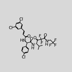 CC(C)[C@H](NC(=O)C(NC(=O)/C=C/c1cc(Cl)cc(Cl)c1)c1ccc(Cl)cc1)C(=O)C(F)(F)C(=O)NCC(F)(F)F